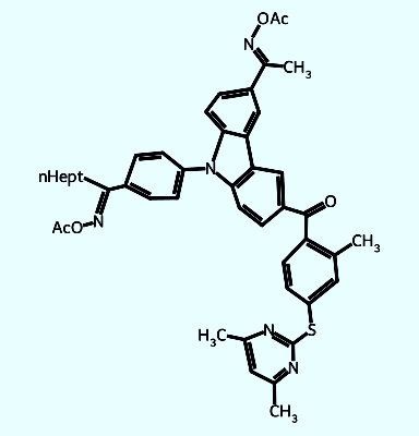 CCCCCCCC(=NOC(C)=O)c1ccc(-n2c3ccc(C(=O)c4ccc(Sc5nc(C)cc(C)n5)cc4C)cc3c3cc(C(C)=NOC(C)=O)ccc32)cc1